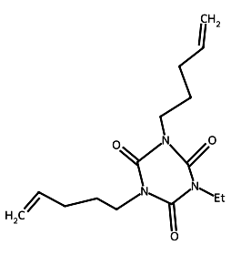 C=CCCCn1c(=O)n(CC)c(=O)n(CCCC=C)c1=O